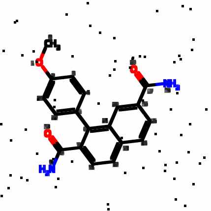 COc1ccc(-c2c(C(N)=O)ccc3ccc(C(N)=O)cc23)cc1